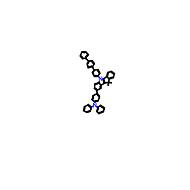 CC1(C)c2ccccc2-c2c1c1cc(-c3ccc(N(c4ccccc4)c4ccccc4)cc3)ccc1n2-c1ccc(-c2ccc(-c3ccccc3)cc2)cc1